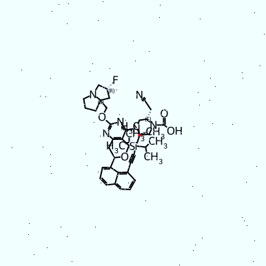 CC(C)[Si](C#Cc1cccc2cccc(C3Cc4nc(OC[C@@]56CCCN5C[C@H](F)C6)nc(N5CCN(C(=O)O)[C@@H](CC#N)C5)c4CO3)c12)(C(C)C)C(C)C